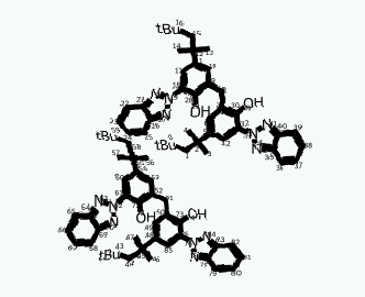 CC(C)(C)CC(C)(C)c1cc(Cc2cc(C(C)(C)CC(C)(C)C)cc(-n3nc4ccccc4n3)c2O)c(O)c(-n2nc3ccccc3n2)c1.CC(C)(C)CC(C)(C)c1cc(Cc2cc(C(C)(C)CC(C)(C)C)cc(-n3nc4ccccc4n3)c2O)c(O)c(-n2nc3ccccc3n2)c1